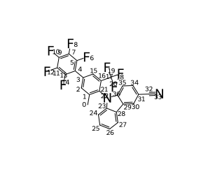 Cc1cc(-c2c(F)c(F)c(F)c(F)c2F)cc(C(F)(F)F)c1-n1c2ccccc2c2cc(C#N)ccc21